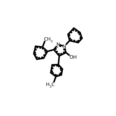 Cc1ccc(-c2c(-c3ccccc3C)nn(-c3ccccc3)c2O)cc1